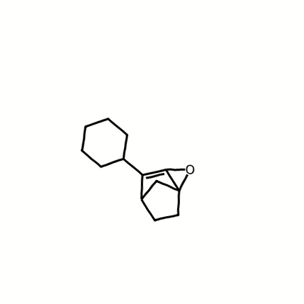 C1CCC(C2=C3OC34CCC2C4)CC1